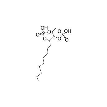 CCCCCCCCCC(OS(=O)(=O)O)C(CC)OS(=O)(=O)O